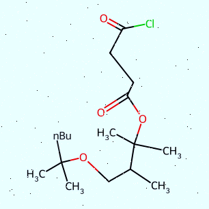 CCCCC(C)(C)OCC(C)C(C)(C)OC(=O)CCC(=O)Cl